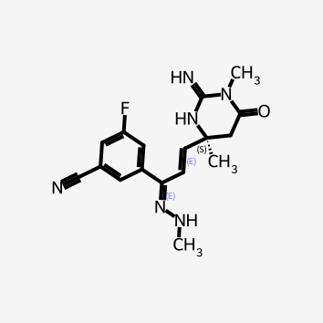 CN/N=C(\C=C\[C@]1(C)CC(=O)N(C)C(=N)N1)c1cc(F)cc(C#N)c1